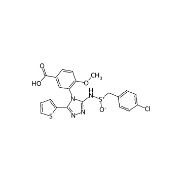 COc1ccc(C(=O)O)cc1-n1c(N[S+]([O-])Cc2ccc(Cl)cc2)nnc1-c1cccs1